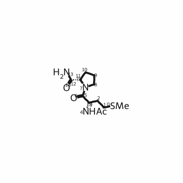 CSCC[C@H](NC(C)=O)C(=O)N1CCC[C@H]1C(N)=O